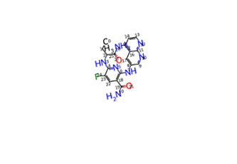 CCC(Nc1nc(Nc2cnc3ncccc3c2)c(C(N)=O)cc1F)C(N)=O